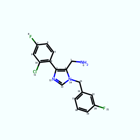 NCc1c(-c2ccc(F)cc2Cl)ncn1Cc1cccc(F)c1